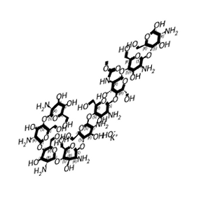 COC(=O)N[C@H]1[C@H](O[C@H]2[C@H](O)[C@@H](N)[C@H](O[C@H]3[C@H](O)[C@@H](N)[C@H](O)O[C@@H]3CO)O[C@@H]2CO)O[C@H](CO)[C@@H](O[C@@H]2O[C@H](CO)[C@@H](O[C@@H]3O[C@H](CO)[C@@H](O[C@@H]4O[C@H](CO)[C@@H](O[C@@H]5O[C@H](CO)[C@@H](O[C@@H]6O[C@H](CO)[C@@H](O[C@@H]7O[C@H](CO)[C@@H](O)[C@H](O)[C@H]7N)[C@H](O)[C@H]6N)[C@H](O)[C@H]5N)[C@H](O)[C@H]4N)[C@H](O)[C@H]3N)[C@H](O)[C@H]2N)[C@@H]1O.[K+].[OH-]